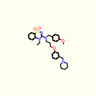 CCN1C(N(CCCOc2cccc(CN3CCCCC3)c2)Cc2ccc(OC)cc2)=NS(=O)(=O)c2ccccc21